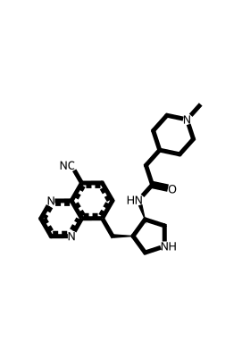 CN1CCC(CC(=O)N[C@H]2CNC[C@H]2Cc2ccc(C#N)c3nccnc23)CC1